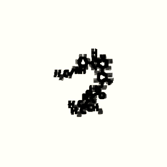 C=CCNc1cccc(-c2nc3c(-c4ccc(CNC(=O)c5nc(C(C)(C)C)no5)c(F)c4)ccnc3[nH]2)c1